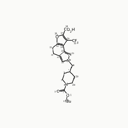 CC(C)(C)OC(=O)N1CCC(Cn2cc3c(n2)-c2c(oc(C(=O)O)c2C(F)(F)F)CC3)CC1